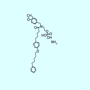 COc1ccc(CN(CCOP(=O)(O)O)C(=O)CCCCc2ccc(OCCCCCc3ccccc3)cc2)cc1.N